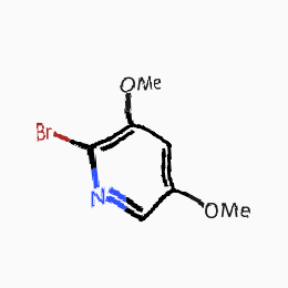 COc1cnc(Br)c(OC)c1